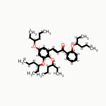 CCCC(CC)Oc1cc(C=CC(=O)c2ccccc2OC(CC)CCC)c(OC(CC)CCC)c(OC(CC)CCC)c1